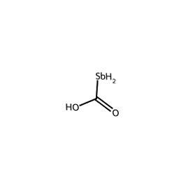 O=[C](O)[SbH2]